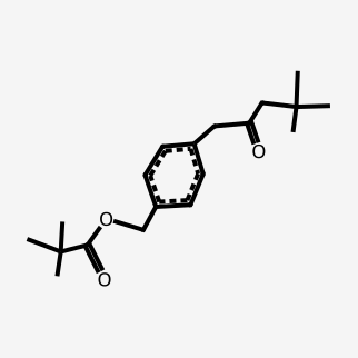 CC(C)(C)CC(=O)Cc1ccc(COC(=O)C(C)(C)C)cc1